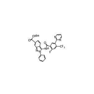 COC(=O)c1ccc2c(NC(=O)c3cc(-c4ncccn4)c(C(F)(F)F)cc3F)n(-c3ccccc3)nc2c1